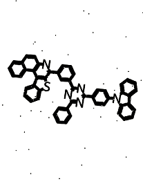 c1ccc(-c2nc(-c3ccc(-n4c5ccccc5c5ccccc54)cc3)nc(-c3cccc(-c4nc5ccc6ccccc6c5c5c4sc4ccccc45)c3)n2)cc1